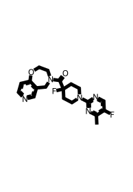 Cc1nc(N2CCC(F)(C(=O)N3CCOc4ccncc4C3)CC2)ncc1F